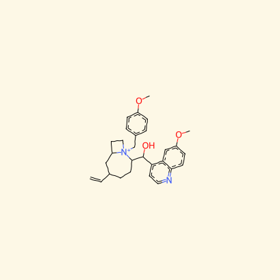 C=CC1CCC(C(O)c2ccnc3ccc(OC)cc23)[N+]2(Cc3ccc(OC)cc3)CCC2C1